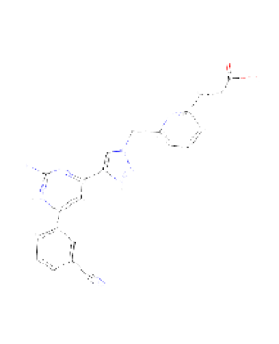 N#Cc1cccc(-c2cc(-c3cn(Cc4cccc(CCC(=O)O)n4)nn3)nc(N)n2)c1